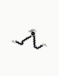 CCCCC/C=C\C/C=C\CCCCCCCCO[C@H]1C[C@H](NC)CC[C@H]1OCCCCCCCC/C=C\C/C=C\CCCCC